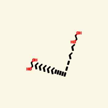 C=C.C=C.C=C.C=C.C=C.C=C.C=C.C=CC.C=CC.C=CC.C=CC.C=CC.C=CC.C=CC.OCCO.OCCO